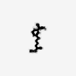 COC(=O)CCCOc1cccc(C(N)=O)c1